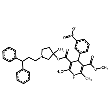 COC(=O)C1=C(C)NC(C)=C(C(=O)OC2(C)CCN(CCC(c3ccccc3)c3ccccc3)C2)C1c1cccc([N+](=O)[O-])c1